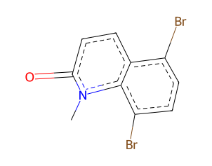 Cn1c(=O)ccc2c(Br)ccc(Br)c21